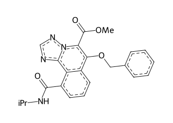 COC(=O)c1c(OCc2ccccc2)c2cccc(C(=O)NC(C)C)c2c2ncnn12